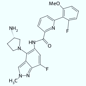 COc1cccc(F)c1-c1cccc(C(=O)Nc2cc(F)c3nn(C)cc3c2N2CC[C@H](N)C2)n1